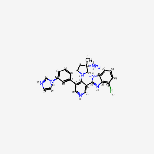 CC1(N)CCN(c2c(-c3cccc(-n4ccnc4)c3)cncc2-c2nc3c(F)cccc3[nH]2)C1